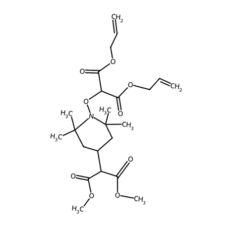 C=CCOC(=O)C(ON1C(C)(C)CC(C(C(=O)OC)C(=O)OC)CC1(C)C)C(=O)OCC=C